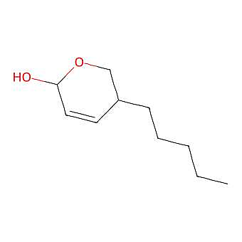 CCCCCC1C=CC(O)OC1